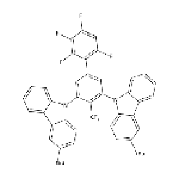 CC(C)(C)c1ccc2c(c1)c1ccccc1n2-c1cc(-c2c(F)cc(F)c(F)c2F)cc(-n2c3ccccc3c3cc(C(C)(C)C)ccc32)c1C(F)(F)F